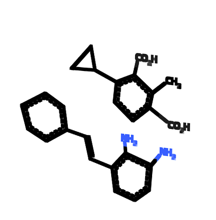 Cc1c(C(=O)O)ccc(C2CC2)c1C(=O)O.Nc1cccc(C=Cc2ccccc2)c1N